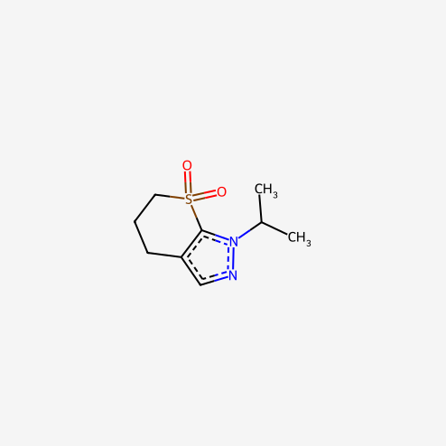 CC(C)n1ncc2c1S(=O)(=O)CCC2